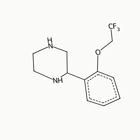 FC(F)(F)COc1ccccc1C1CNCCN1